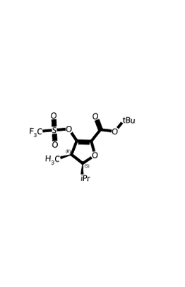 CC(C)[C@@H]1OC(C(=O)OC(C)(C)C)=C(OS(=O)(=O)C(F)(F)F)[C@@H]1C